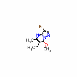 CCc1c(C)nc2c(Br)cnn2c1OC